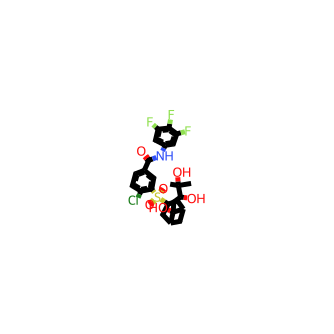 CC(C)(O)C(O)CC1(O)C2CC1CC(S(=O)(=O)c1cc(C(=O)Nc3cc(F)c(F)c(F)c3)ccc1Cl)C2